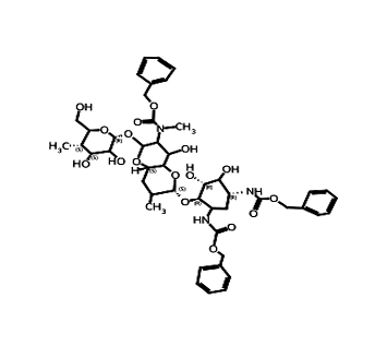 CC1C[C@@H]2OC(O[C@H]3OC(CO)[C@@H](C)[C@H](O)C3O)C(N(C)C(=O)OCc3ccccc3)C(O)C2O[C@@H]1O[C@@H]1C(NC(=O)OCc2ccccc2)C[C@@H](NC(=O)OCc2ccccc2)C(O)[C@H]1O